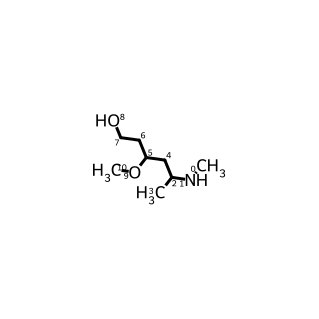 CNC(C)CC(CCO)OC